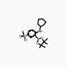 CC[SH](C)(=O)c1ccc(NC2CCCCC2)c(B2OC(C)(C)C(C)(C)O2)c1